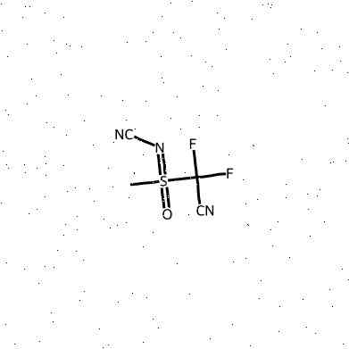 CS(=O)(=NC#N)C(F)(F)C#N